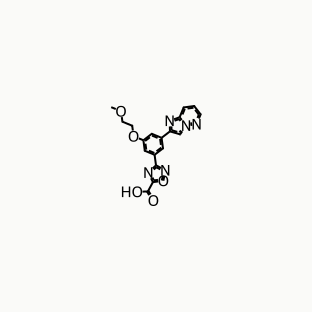 COCCOc1cc(-c2cn3ncccc3n2)cc(-c2noc(C(=O)O)n2)c1